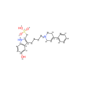 O=S(=O)(O)Cc1[nH]c2ccc(O)cc2c1CCCCN1CC=C(c2ccccc2)CC1